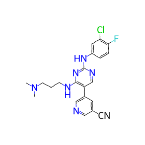 CN(C)CCCNc1nc(Nc2ccc(F)c(Cl)c2)ncc1-c1cncc(C#N)c1